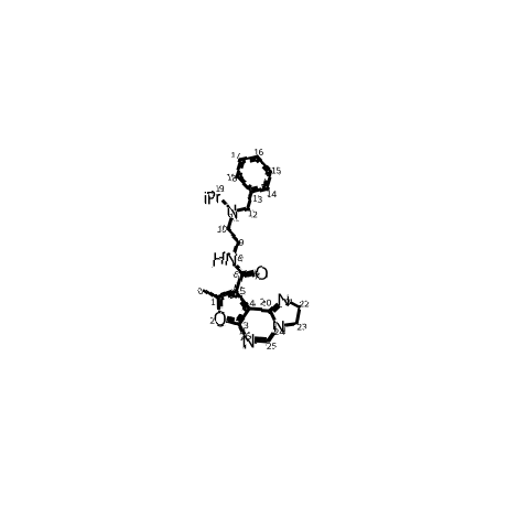 Cc1oc2c(c1C(=O)NCCN(Cc1ccccc1)C(C)C)C1=NCCN1C=N2